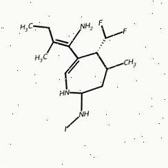 CC/C(C)=C(\N)C1=CNC(NI)CC(C)[C@H]1C(F)F